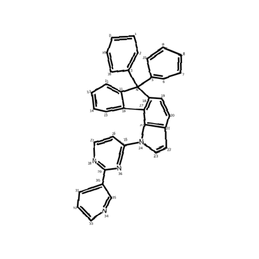 c1ccc(C2(c3ccccc3)c3ccccc3-c3c2ccc2ccn(-c4ccnc(-c5cccnc5)n4)c32)cc1